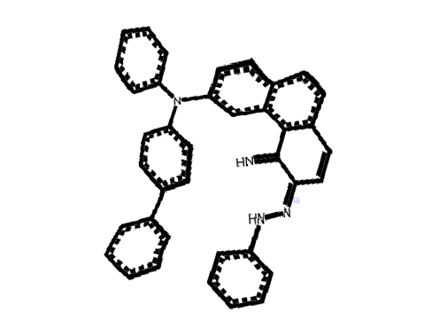 N=C1/C(=N\Nc2ccccc2)C=Cc2ccc3ccc(N(c4ccccc4)c4ccc(-c5ccccc5)cc4)cc3c21